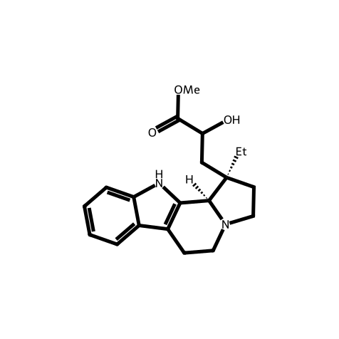 CC[C@]1(CC(O)C(=O)OC)CCN2CCc3c([nH]c4ccccc34)[C@H]21